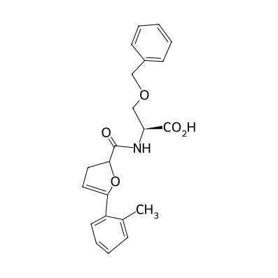 Cc1ccccc1C1=CCC(C(=O)N[C@@H](COCc2ccccc2)C(=O)O)O1